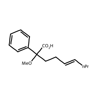 CCCC=CCCC(OC)(C(=O)O)c1ccccc1